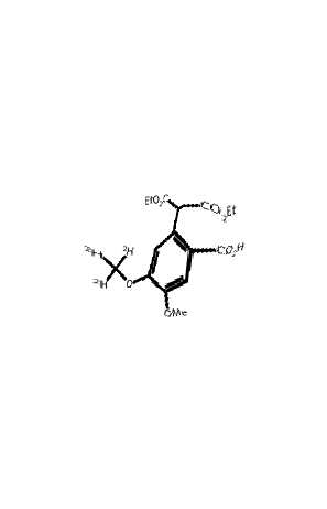 [2H]C([2H])([2H])Oc1cc(C(C(=O)OCC)C(=O)OCC)c(C(=O)O)cc1OC